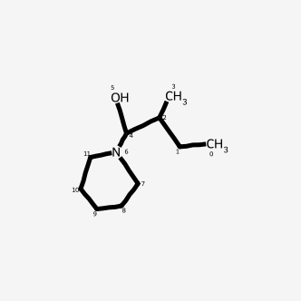 CCC(C)C(O)N1CCCCC1